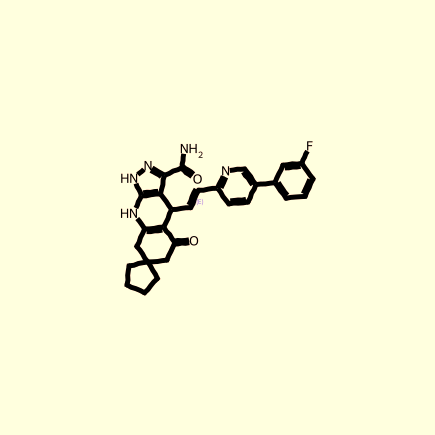 NC(=O)c1n[nH]c2c1C(/C=C/c1ccc(-c3cccc(F)c3)cn1)C1=C(CC3(CCCC3)CC1=O)N2